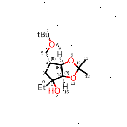 CCC1(O)C[C@H](COC(C)(C)C)[C@H]2OC(C)(C)O[C@H]21